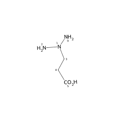 NN(N)CCC(=O)O